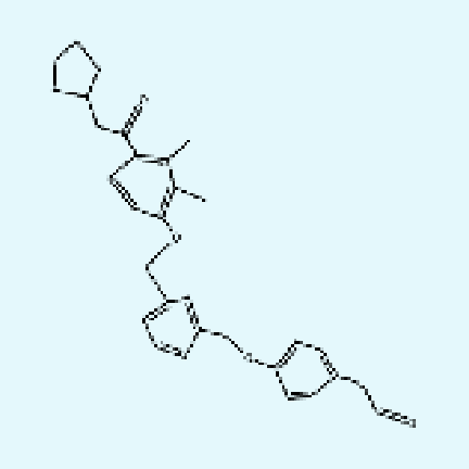 Cc1c(OCc2cccc(COc3ccc(OC=O)cc3)c2)ccc(C(=O)CC2CCCC2)c1C